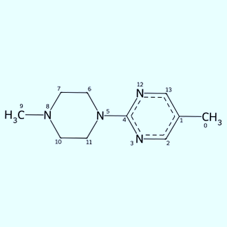 Cc1cnc(N2CCN(C)CC2)nc1